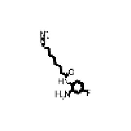 [N-]=[N+]=NCCCCCCC(=O)Nc1ccc(F)cc1N